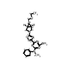 CN(c1ccccc1)c1nc(N)nc(-c2noc(N3C[C@@H]4[C@@H](COCC(F)(F)F)[C@@H]4C3)n2)n1